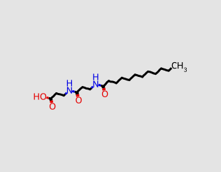 CCCCCCCCCCCC(=O)NCCC(=O)NCCC(=O)O